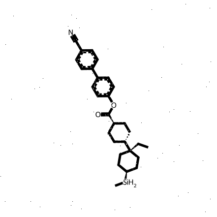 CC[C@]1([C@H]2CC[C@H](C(=O)Oc3ccc(-c4ccc(C#N)cc4)cc3)CC2)CC[C@H]([SiH2]C)CC1